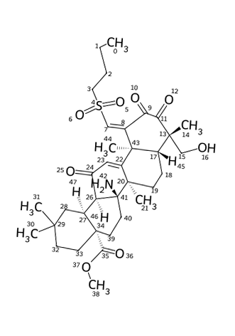 CCCCS(=O)(=O)/C=C1\C(=O)C(=O)[C@](C)(CO)[C@@H]2CC[C@]3(C)C(=CC(=O)[C@@H]4[C@@H]5CC(C)(C)CC[C@]5(C(=O)OC)CC[C@]43N)[C@@]12C